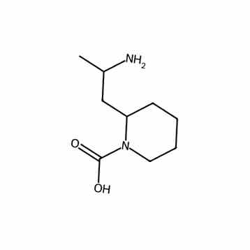 CC(N)CC1CCCCN1C(=O)O